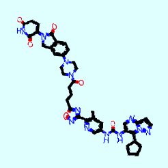 Cc1cc(NC(=O)Nc2cnc3ccnn3c2C2CCCC2)cnc1-c1noc(CCCC(=O)N2CCN(c3ccc4c(c3)CN(C3CCC(=O)NC3=O)C4=O)CC2)n1